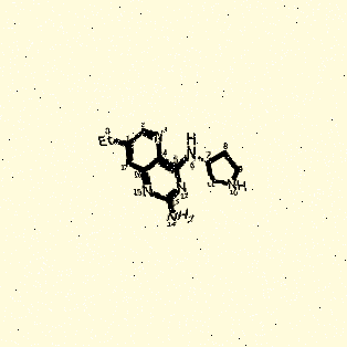 CCc1cnc2c(N[C@@H]3CCNC3)nc(N)nc2c1